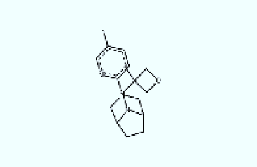 Cc1ccc(N2CC3CCC(C2)N3CC2(C)COC2)nc1